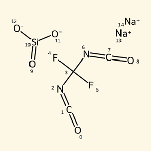 O=C=NC(F)(F)N=C=O.O=[Si]([O-])[O-].[Na+].[Na+]